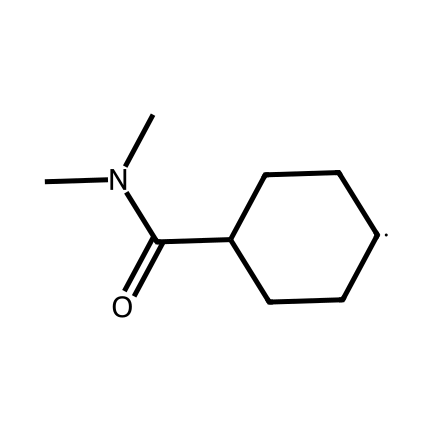 CN(C)C(=O)C1CC[CH]CC1